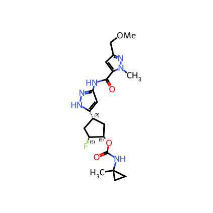 COCc1cc(C(=O)Nc2cc([C@@H]3C[C@H](OC(=O)NC4(C)CC4)[C@@H](F)C3)[nH]n2)n(C)n1